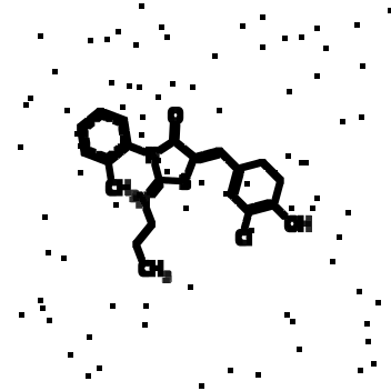 CCC/N=C1\S/C(=C\C2=CC(Cl)=C(O)CC2)C(=O)N1c1ccccc1C